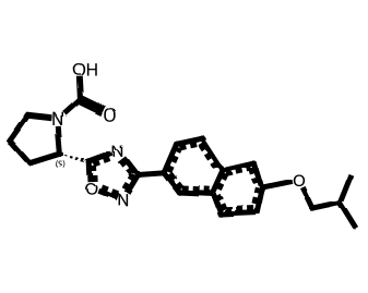 CC(C)COc1ccc2cc(-c3noc([C@@H]4CCCN4C(=O)O)n3)ccc2c1